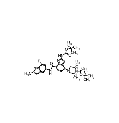 C[C@H]1CN(c2ccc(C(=O)Nc3cc(F)c4nn(C)cc4c3)c3nc(NC(=O)OC(C)(C)C)sc23)C[C@H](C)N1C(=O)OC(C)(C)C